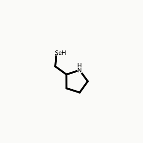 [SeH]CC1CCCN1